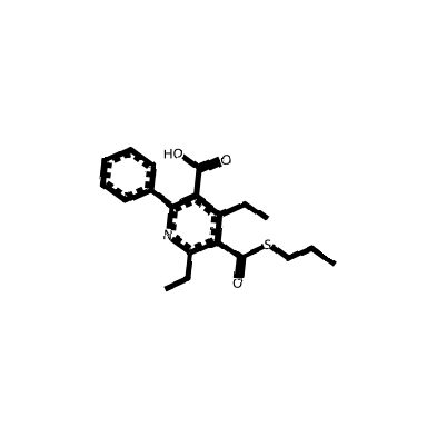 CCCSC(=O)c1c(CC)nc(-c2ccccc2)c(C(=O)O)c1CC